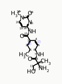 CC/C=C(\C=C/CNC(=O)C(C)(N)CO)C(=O)Nc1ccn(C)c(=O)n1